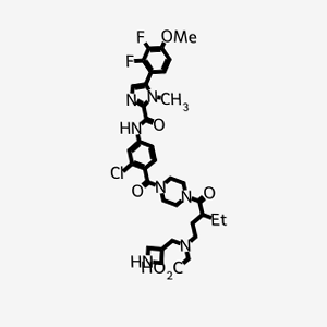 CCC(CCN(CC(=O)O)CC1CNC1)C(=O)N1CCN(C(=O)c2ccc(NC(=O)c3ncc(-c4ccc(OC)c(F)c4F)n3C)cc2Cl)CC1